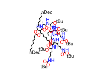 CCCCCCCCCCCCCCCCCC(=O)OC(CCCCCCCCCCCCCCCCC)C(CCCCCCCCCCCCCCCC)C(=O)N[C@@H](C)C(=O)N[C@@H](COC(C)(C)C)C(=O)N[C@@H](CCCCNC(=O)OC(C)(C)C)C(=O)N[C@@H](CCCCNC(=O)OC(C)(C)C)C(=O)N[C@@H](CCCCNC(=O)OC(C)(C)C)C(=O)N[C@@H](CCCCNC(=O)OC(C)(C)C)C(=O)OC(C)(C)C